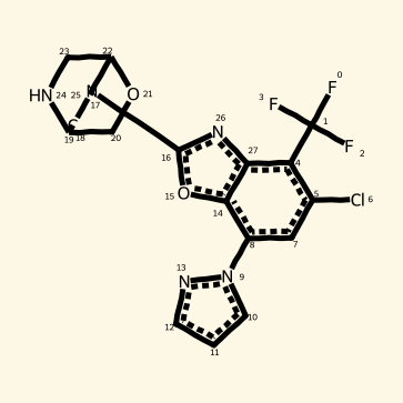 FC(F)(F)c1c(Cl)cc(-n2cccn2)c2oc(N3CC4COC(CN4)C3)nc12